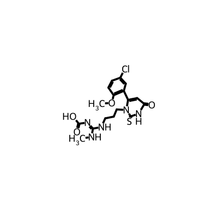 CNC(=NC(=O)O)NCCCn1c(-c2cc(Cl)ccc2OC)cc(=O)[nH]c1=S